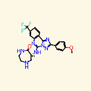 COc1ccc(-c2nc3c4ccc(C(F)(F)F)cc4nc(N[C@@H]4CNCCNC4=O)n3n2)cc1